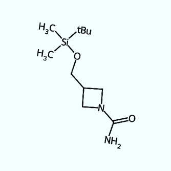 CC(C)(C)[Si](C)(C)OCC1CN(C(N)=O)C1